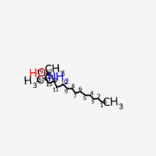 CCCCCCCCCCCCCCC(C)C(C)(N)O